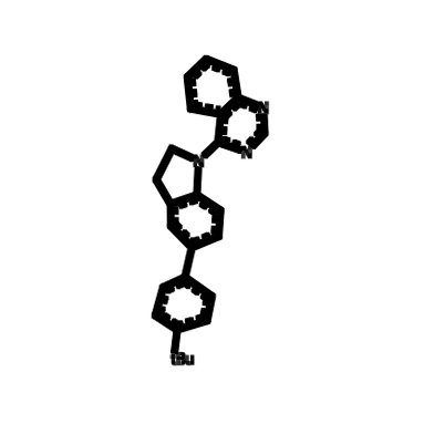 CC(C)(C)c1ccc(-c2ccc3c(c2)CCN3c2ncnc3ccccc23)cc1